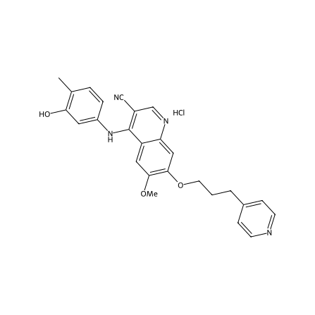 COc1cc2c(Nc3ccc(C)c(O)c3)c(C#N)cnc2cc1OCCCc1ccncc1.Cl